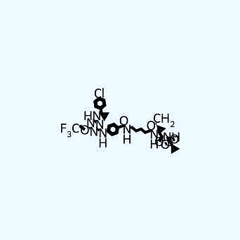 C=C[C@@H]1C[C@]1(NC(=O)CCCCNC(=O)c1ccc(Nc2nc(NC3(c4ccc(Cl)cc4)CC3)nc(OCC(F)(F)F)n2)cc1)C(=O)NS(=O)(=O)C1CC1